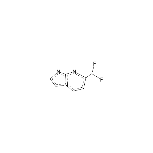 FC(F)c1ccn2ccnc2n1